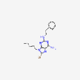 CCCCCn1c(Br)nc2c(N)nc(NCCc3ccccc3)nc21